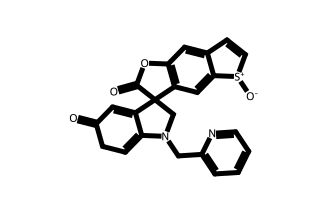 O=C1C=C2C(=CC1)N(Cc1ccccn1)CC21C(=O)Oc2cc3cc[s+]([O-])c3cc21